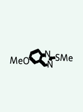 COc1ccc2nc(SC)ncc2c1